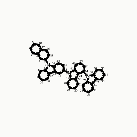 c1ccc2cc(-n3c4ccccc4c4cc(-n5c6ccccc6c6c(-n7c8ccccc8c8ccccc87)cccc65)ccc43)ccc2c1